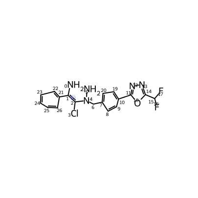 N/C(=C(/Cl)N(N)Cc1ccc(-c2nnc(C(F)F)o2)cc1)c1ccccc1